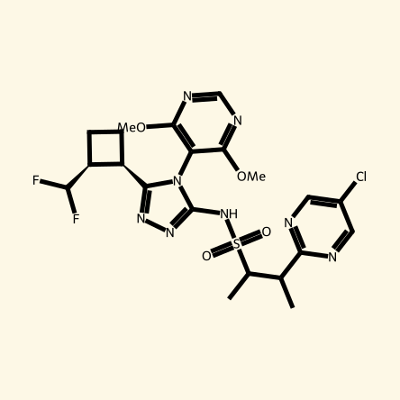 COc1ncnc(OC)c1-n1c(NS(=O)(=O)C(C)C(C)c2ncc(Cl)cn2)nnc1[C@@H]1CC[C@@H]1C(F)F